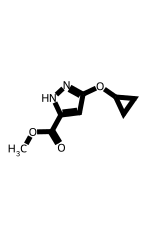 COC(=O)c1cc(OC2CC2)n[nH]1